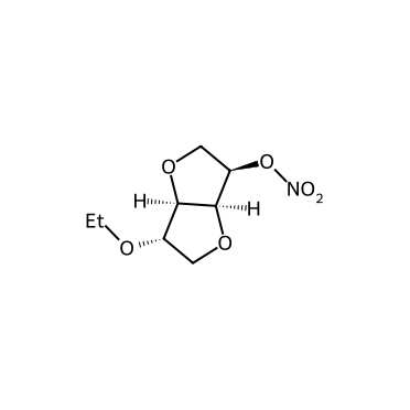 CCO[C@H]1CO[C@H]2[C@@H]1OC[C@H]2O[N+](=O)[O-]